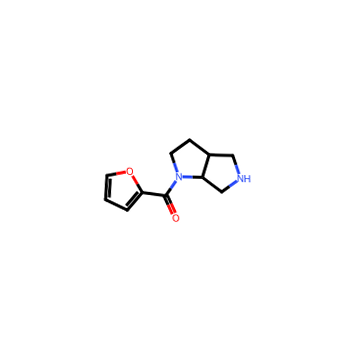 O=C(c1ccco1)N1CCC2CNCC21